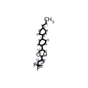 CCCC1CCC(C2CCC(C3COC(/C(F)=C/C(F)(F)F)OC3)CC2)CC1